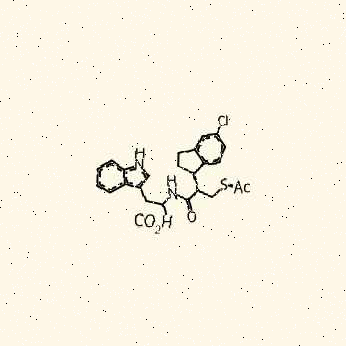 CC(=O)SCC(C(=O)NC(Cc1c[nH]c2ccccc12)C(=O)O)C1CCc2cc(Cl)ccc21